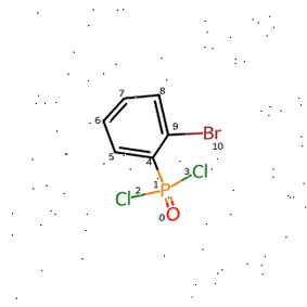 O=P(Cl)(Cl)c1ccccc1Br